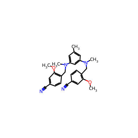 COc1cc(C#N)ccc1CN(C)c1cc(C)cc(N(C)Cc2ccc(C#N)cc2OC)c1